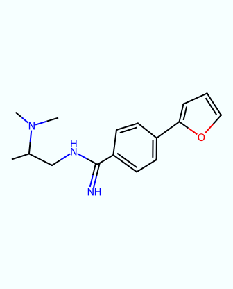 CC(CNC(=N)c1ccc(-c2ccco2)cc1)N(C)C